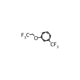 FC(F)(F)COc1[c]ccc(C(F)(F)F)c1